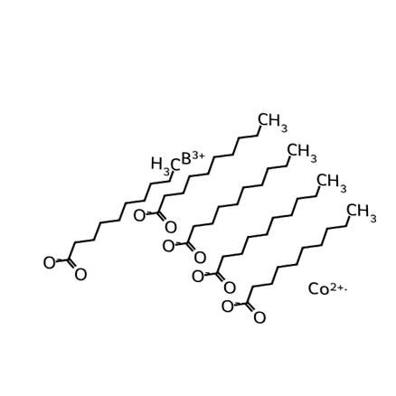 CCCCCCCCCC(=O)[O-].CCCCCCCCCC(=O)[O-].CCCCCCCCCC(=O)[O-].CCCCCCCCCC(=O)[O-].CCCCCCCCCC(=O)[O-].[B+3].[Co+2]